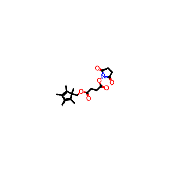 CC1=C(C)C(C)(COC(=O)CCC(=O)ON2C(=O)CCC2=O)C(C)=C1C